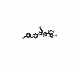 N#CCC1(n2cc(-c3ncnc4[nH]ccc34)cn2)CN(C2CCN(Cc3cccc(C#N)c3)CC2)C1